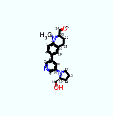 CN1c2ccc(-c3cncc(N4CCC[C@H]4CO)c3)cc2CCC1C=O